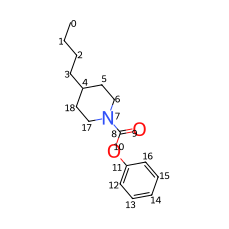 CCCCC1CCN(C(=O)Oc2ccccc2)CC1